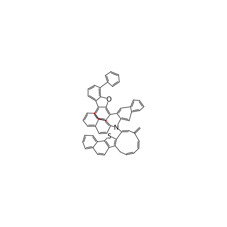 C=C1/C=C\C=C/Cc2c(sc3c2ccc2ccccc23)/C(N(c2ccc3ccccc3c2)c2cc3ccccc3cc2-c2cccc3c2oc2c(-c4ccccc4)cccc23)=C\1